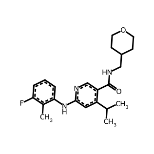 Cc1c(F)cccc1Nc1cc(C(C)C)c(C(=O)NCC2CCOCC2)cn1